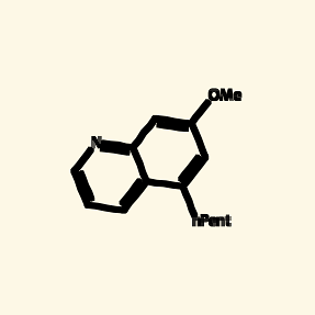 CCCCCc1cc(OC)cc2ncccc12